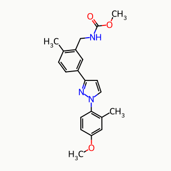 COC(=O)NCc1cc(-c2ccn(-c3ccc(OC)cc3C)n2)ccc1C